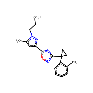 Cc1ccccc1C1(c2noc(-c3cc(C(F)(F)F)n(CCC(=O)O)n3)n2)CC1